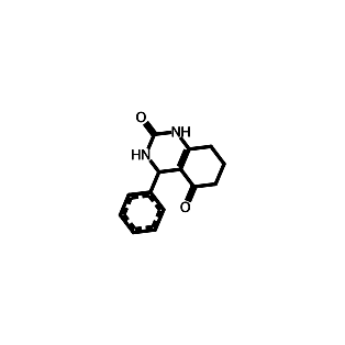 O=C1NC2=C(C(=O)CCC2)C(c2ccccc2)N1